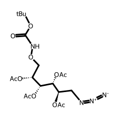 CC(=O)O[C@@H]([C@H](OC(C)=O)[C@@H](CONC(=O)OC(C)(C)C)OC(C)=O)[C@@H](CN=[N+]=[N-])OC(C)=O